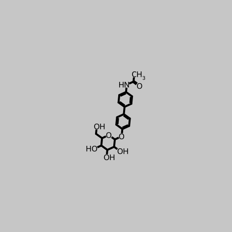 CC(=O)Nc1ccc(-c2ccc(OC3OC(CO)C(O)C(O)C3O)cc2)cc1